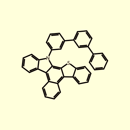 c1ccc(-c2cccc(-c3cccc(-n4c5ccccc5c5c6ccccc6c6c7ccccc7sc6c54)c3)c2)cc1